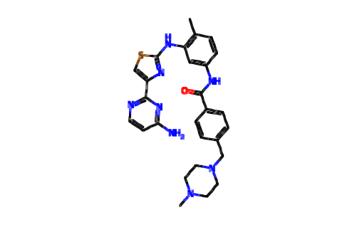 Cc1ccc(NC(=O)c2ccc(CN3CCN(C)CC3)cc2)cc1Nc1nc(-c2nccc(N)n2)cs1